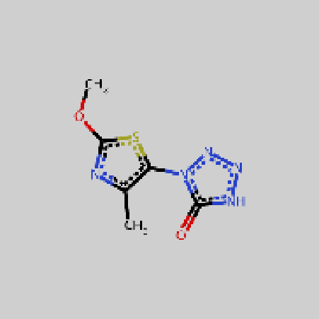 COc1nc(C)c(-n2nn[nH]c2=O)s1